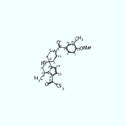 COc1ccc(C(=O)N2CCC3(CC2)NCC(C)n2c(C(=O)C(F)(F)F)ccc23)cc1C